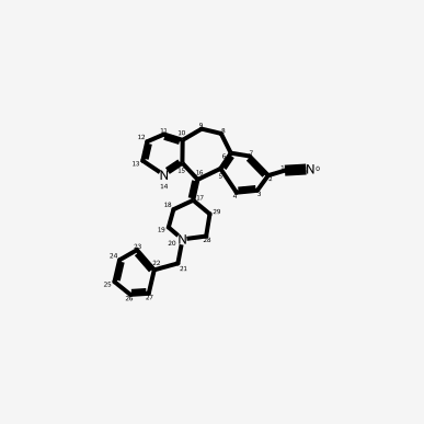 N#Cc1ccc2c(c1)CCc1cccnc1C2=C1CCN(Cc2ccccc2)CC1